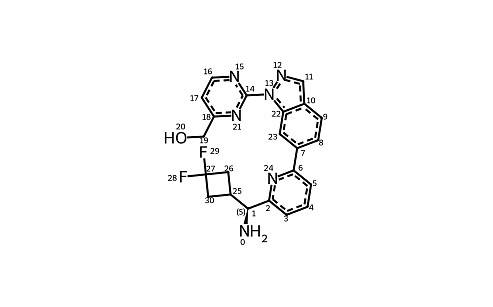 N[C@H](c1cccc(-c2ccc3cnn(-c4nccc(CO)n4)c3c2)n1)C1CC(F)(F)C1